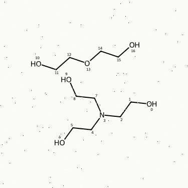 OCCN(CCO)CCO.OCCOCCO